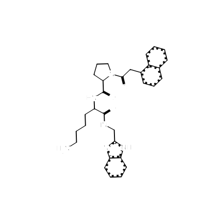 NCCCCC(NC(=O)C1CCCN1C(=O)Cc1cccc2ccccc12)C(=O)NCc1nc2ccccc2[nH]1